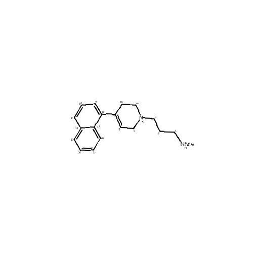 CNCCCN1CC=C(c2cccc3ccccc23)CC1